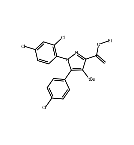 C=C(OCC)c1nn(-c2ccc(Cl)cc2Cl)c(-c2ccc(Cl)cc2)c1C(C)(C)C